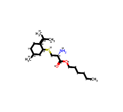 CCCCCCOC(=O)[C@@H](N)CSC1CC(C)CCC1=C(C)C